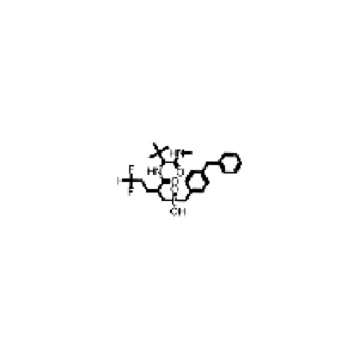 CNC(=O)C(NC(=O)C(CCC(F)(F)F)CP(=O)(O)Cc1ccc(Cc2ccccc2)cc1)C(C)(C)C